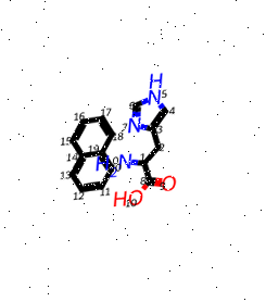 NC(Cc1c[nH]cn1)C(=O)O.c1ccc2ccccc2c1